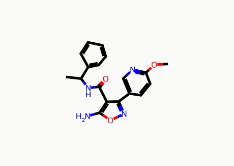 COc1ccc(-c2noc(N)c2C(=O)NC(C)c2ccccc2)cn1